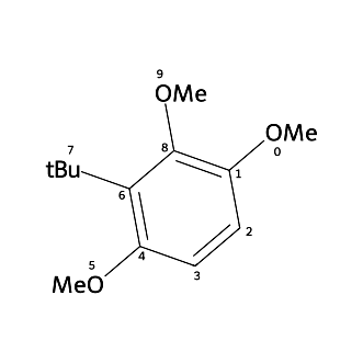 COc1ccc(OC)c(C(C)(C)C)c1OC